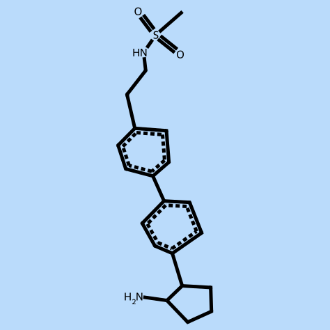 CS(=O)(=O)NCCc1ccc(-c2ccc(C3CCCC3N)cc2)cc1